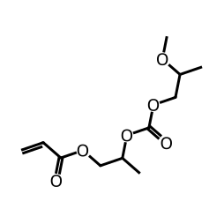 C=CC(=O)OCC(C)OC(=O)OCC(C)OC